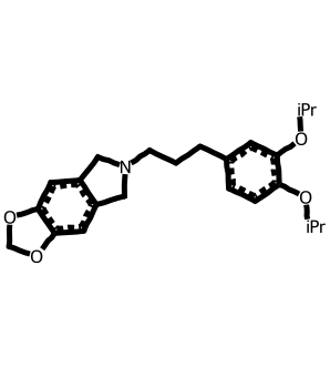 CC(C)Oc1ccc(CCCN2Cc3cc4c(cc3C2)OCO4)cc1OC(C)C